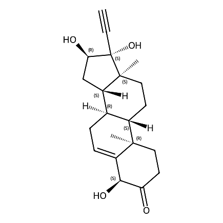 C#C[C@]1(O)[C@H](O)C[C@H]2[C@@H]3CC=C4[C@H](O)C(=O)CC[C@]4(C)[C@H]3CC[C@@]21C